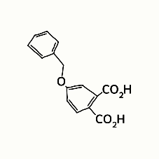 O=C(O)c1ccc(OCc2ccccc2)cc1C(=O)O